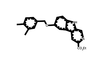 CCOC(=O)c1cc2c(cn1)[nH]c1ccc(OCc3ccc(C)c(C)c3)cc12